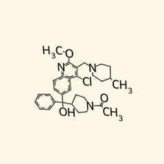 COc1nc2ccc(C(O)(c3ccccc3)C3CCN(C(C)=O)CC3)cc2c(Cl)c1CN1CCC(C)CC1